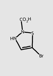 O=C(O)N1NC=C(Br)S1